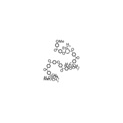 CCC1(C)C=C(Oc2ccc(C(=O)c3ccc(OC)cc3)cc2)C=CC(C(=O)c2ccc(C(=O)c3ccc(C(C)(C)C(C)(C)Oc4ccc(C(=O)c5ccc(Oc6ccc(C(=O)c7ccc(C(=O)c8ccc(C(C)(C)C(C)(C)OC)cc8)cc7)cc6)cc5)cc4)cc3)cc2)=C1